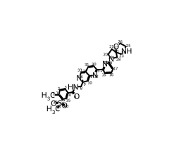 Cc1ccc(C(=O)NCc2cc3nc(-c4cccc(N5CCC6(CNCCO6)C5)n4)ccc3cn2)cc1S(C)(=O)=O